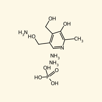 Cc1ncc(CO)c(CO)c1O.N.N.N.O=P(O)(O)O